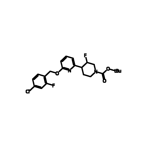 CC(C)(C)OC(=O)N1CCC(c2cccc(OCc3ccc(Cl)cc3F)n2)C(F)C1